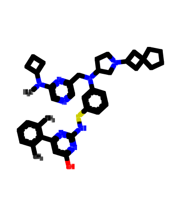 Cc1cccc(C)c1-c1cc(O)nc(NSc2cccc(N(Cc3cncc(N(C)C4CCC4)n3)C3CCN(C4CC5(CCCC5)C4)C3)c2)n1